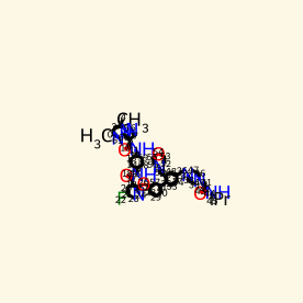 Cc1cc(C)n2ncc(C(=O)NC3CCC(NC(=O)c4cc(F)cnc4Oc4cccc(-c5ccc(CN6CCN(CC(=O)NC(C)C)CC6)cc5CN5CCOCC5)c4)CC3)c2n1